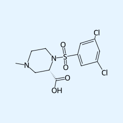 CN1CCN(S(=O)(=O)c2cc(Cl)cc(Cl)c2)[C@H](C(=O)O)C1